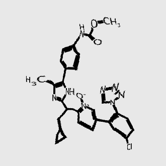 COC(=O)Nc1ccc(-c2[nH]c(C(CC3CC3)c3ccc(-c4cc(Cl)ccc4-n4cnnn4)c[n+]3[O-])nc2C)cc1